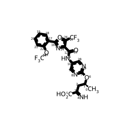 C[C@@H](CC(=N)C(=O)O)Oc1ncc(NC(=O)c2nc(-c3ccccc3OC(F)(F)F)oc2C(F)(F)F)cn1